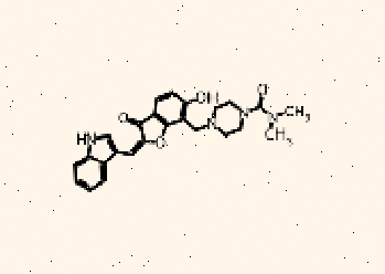 CN(C)C(=O)N1CCN(Cc2c(O)ccc3c2OC(=Cc2c[nH]c4ccccc24)C3=O)CC1